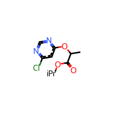 CC(C)OC(=O)C(C)Oc1cc(Cl)ncn1